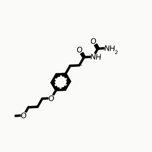 COCCCOc1ccc(C[CH]C(=O)NC(N)=O)cc1